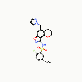 COc1ccc(F)c(S(=O)(=O)Nc2noc3cc(Cn4cccn4)c4c(c23)OCCC4)c1